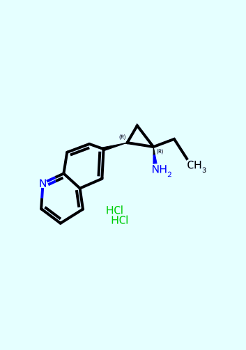 CC[C@@]1(N)C[C@@H]1c1ccc2ncccc2c1.Cl.Cl